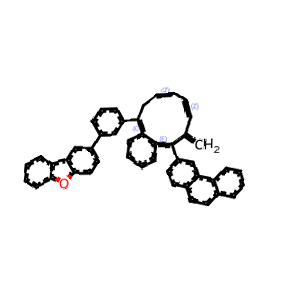 C=C1/C=C\C=C/C/C(c2cccc(-c3ccc4oc5ccccc5c4c3)c2)=c2/cccc/c2=C/1c1ccc2ccc3ccccc3c2c1